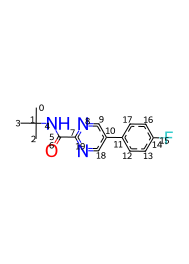 CC(C)(C)NC(=O)c1ncc(-c2ccc(F)cc2)cn1